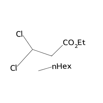 CCCCCCC.CCOC(=O)CC(Cl)Cl